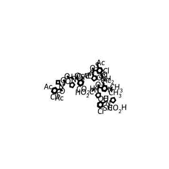 CC(=O)Sc1cc(Cl)c(S(N)(=O)=O)cc1C(=O)N(CC(=O)O)C1CCCC1.CC(=O)Sc1cc(N(C)C)ccc1C(=O)N(CC(=O)O)C1CCCC1.CC(=O)Sc1ccc(C(=O)O)cc1C(=O)N(CC(=O)OC(=O)CN(C(=O)c1cc(C(C)=O)cc(Cl)c1SC(C)=O)C1CCC1)C1CCCC1.O=C(O)CN(C(=O)c1c(O)ccc(Cl)c1S)C1CCCC1